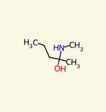 CCCC(C)(O)NC